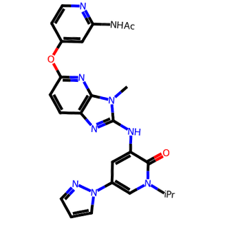 CC(=O)Nc1cc(Oc2ccc3nc(Nc4cc(-n5cccn5)cn(C(C)C)c4=O)n(C)c3n2)ccn1